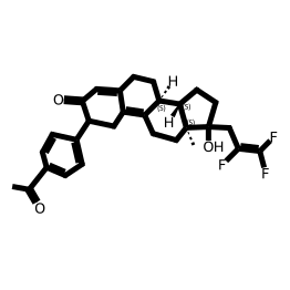 CC(=O)c1ccc(C2CC3=C4CC[C@@]5(C)[C@@H](CCC5(O)CC(F)=C(F)F)[C@@H]4CCC3=CC2=O)cc1